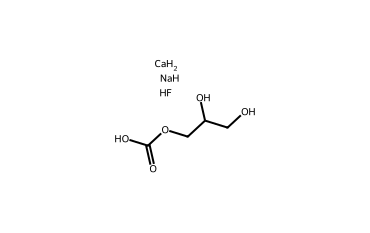 F.O=C(O)OCC(O)CO.[CaH2].[NaH]